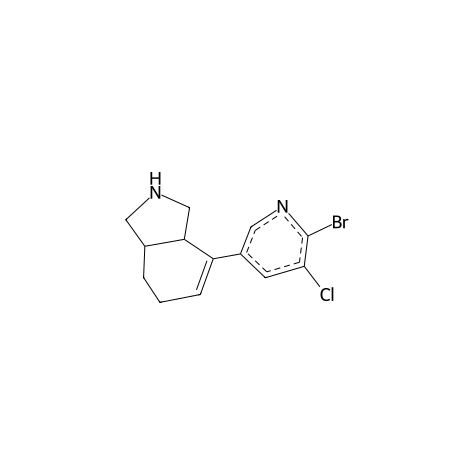 Clc1cc(C2=CCCC3CNCC23)cnc1Br